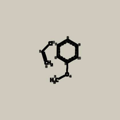 C=CCl.COc1ccccc1